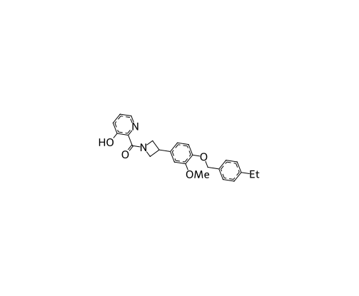 CCc1ccc(COc2ccc(C3CN(C(=O)c4ncccc4O)C3)cc2OC)cc1